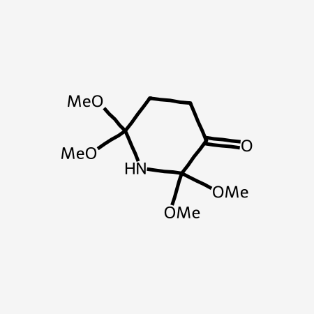 COC1(OC)CCC(=O)C(OC)(OC)N1